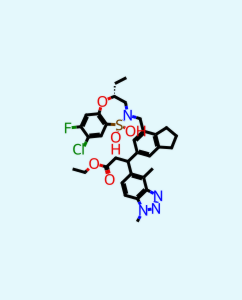 CCOC(=O)CC(c1cc2c(c(CN3C[C@@H](CC)Oc4cc(F)c(Cl)cc4S3(O)O)c1)CCC2)c1ccc2c(nnn2C)c1C